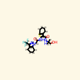 CC(C)(CO)NC(=O)c1c(NC(=O)Cn2nc(C(F)(F)F)c3c2CCCC3)sc2c1CCCC2